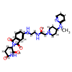 CN(c1ccccn1)C1CCN(CC(=O)NCCNc2ccc3c(c2)C(=O)N(C2CCC(=O)NC2=O)C3=O)CC1